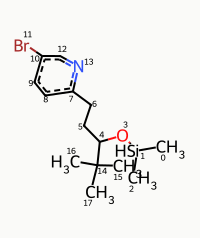 C[SiH](C)OC(CCc1ccc(Br)cn1)C(C)(C)C